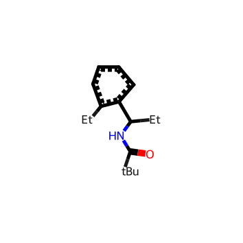 CCc1ccccc1C(CC)NC(=O)C(C)(C)C